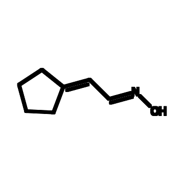 O/N=C/C=C1CCCC1